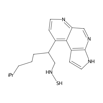 CC(C)CCCC(CNS)c1ccnc2cnc3[nH]ccc3c12